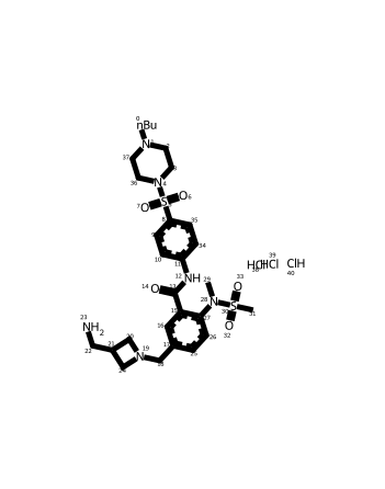 CCCCN1CCN(S(=O)(=O)c2ccc(NC(=O)c3cc(CN4CC(CN)C4)ccc3N(C)S(C)(=O)=O)cc2)CC1.Cl.Cl.Cl